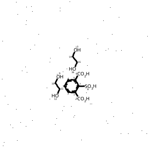 O=C(O)c1cccc(C(=O)O)c1S(=O)(=O)O.OCCO.OCCO